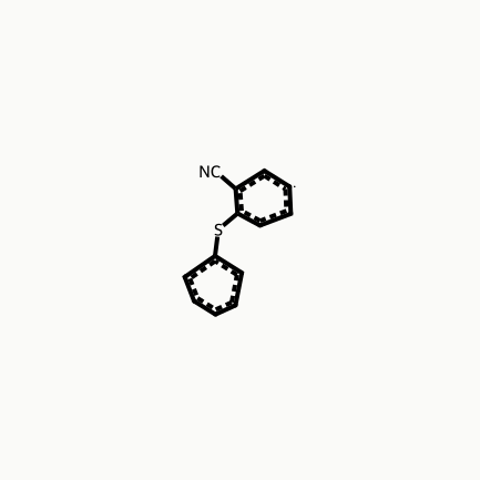 N#Cc1c[c]ccc1Sc1ccccc1